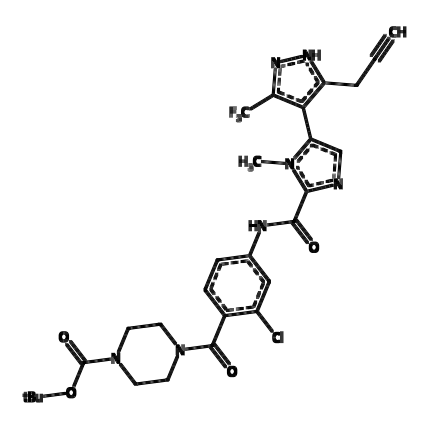 C#CCc1[nH]nc(C(F)(F)F)c1-c1cnc(C(=O)Nc2ccc(C(=O)N3CCN(C(=O)OC(C)(C)C)CC3)c(Cl)c2)n1C